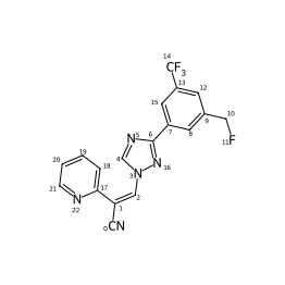 N#CC(=Cn1cnc(-c2cc(CF)cc(C(F)(F)F)c2)n1)c1ccccn1